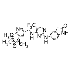 Cc1ncc(CNc2nc(Nc3ccc4c(c3)CC(=O)N4)ncc2C(F)(F)F)cc1N(C)S(C)(=O)=O